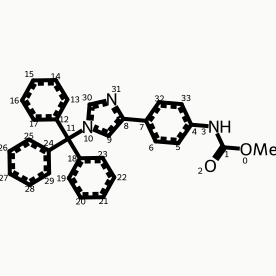 COC(=O)Nc1ccc(-c2cn(C(c3ccccc3)(c3ccccc3)c3ccccc3)cn2)cc1